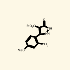 CCOC(=O)c1c(-c2ccc(OC)cc2N)[nH][nH]c1=O